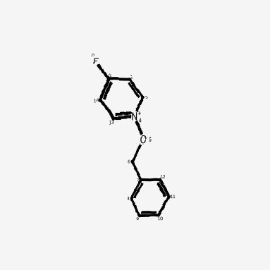 Fc1cc[n+](OCc2ccccc2)cc1